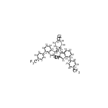 CCC1=Cc2c(-c3ccc(C(F)(F)F)cc3)cccc2[CH]1[Zr+2]1([CH]2C(CC)=Cc3c(-c4ccc(C(F)(F)F)cc4)cccc32)[CH]2CCCC[CH]21.[Cl-].[Cl-]